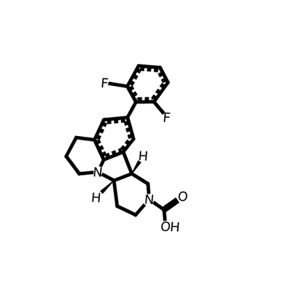 O=C(O)N1CC[C@H]2[C@@H](C1)c1cc(-c3c(F)cccc3F)cc3c1N2CCC3